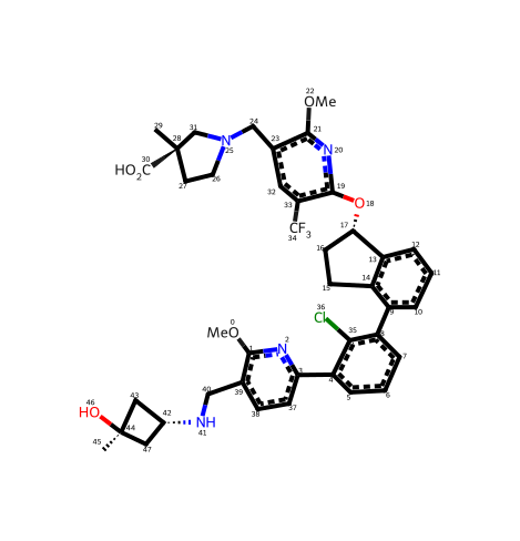 COc1nc(-c2cccc(-c3cccc4c3CC[C@@H]4Oc3nc(OC)c(CN4CC[C@@](C)(C(=O)O)C4)cc3C(F)(F)F)c2Cl)ccc1CN[C@H]1C[C@](C)(O)C1